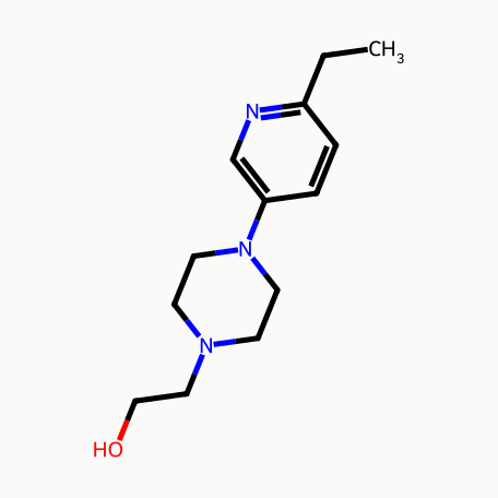 CCc1ccc(N2CCN(CCO)CC2)cn1